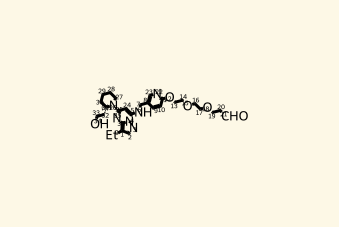 CCc1cnn2c(NCc3ccc(OCCOCCOCCC=O)nc3)cc(N3CCCC[C@H]3CCO)nc12